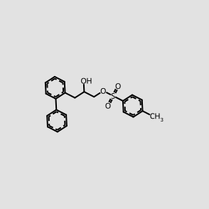 Cc1ccc(S(=O)(=O)OCC(O)Cc2ccccc2-c2ccccc2)cc1